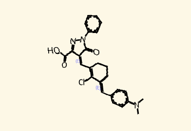 CN(C)c1ccc(/C=C2\CCCC(/C=C3\C(=O)N(c4ccccc4)N=C3C(=O)O)=C2Cl)cc1